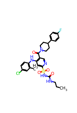 CCCNC(=O)NS(=O)(=O)c1cc(Nc2ccc(Cl)cc2C)c(C(=O)N2CCC(c3ccc(F)cc3)CC2)cn1